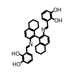 Oc1cccc(/C=N/c2ccc3c(c2-c2c(/N=C/c4cccc(O)c4O)ccc4c2CCCC4)CCCC3)c1O